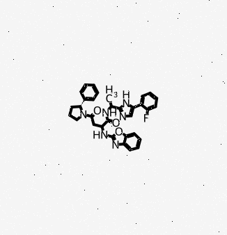 CC(NC(=O)C(CC(=O)N1CCC[C@@H]1c1ccccc1)Nc1nc2ccccc2o1)c1ncc(-c2ccccc2F)[nH]1